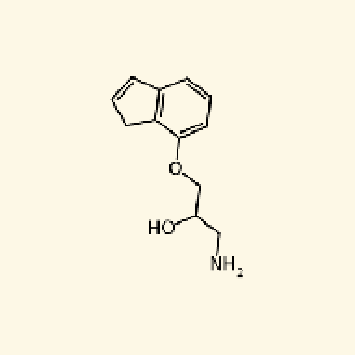 NCC(O)COc1cccc2c1CC=C2